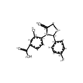 O=C(O)c1ccc(N2C(=O)CSC2c2ccc(F)cc2)c(Cl)c1